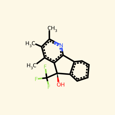 Cc1nc2c(c(C)c1C)[C@@](O)(C(F)(F)F)c1ccccc1-2